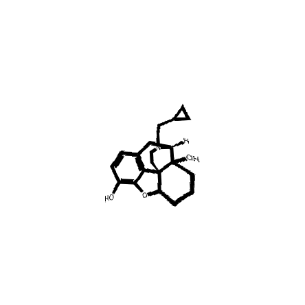 Oc1ccc2c3c1OC1CCCC4(O)[C@@H](C2)N(CC2CC2)CC[C@]314